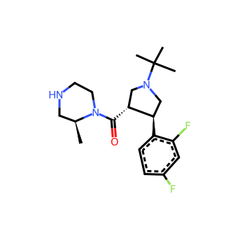 C[C@H]1CNCCN1C(=O)[C@@H]1CN(C(C)(C)C)C[C@H]1c1ccc(F)cc1F